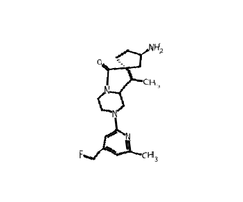 Cc1cc(CF)cc(N2CCN3C(=O)[C@]4(CC[C@@H](N)C4)C(C)C3C2)n1